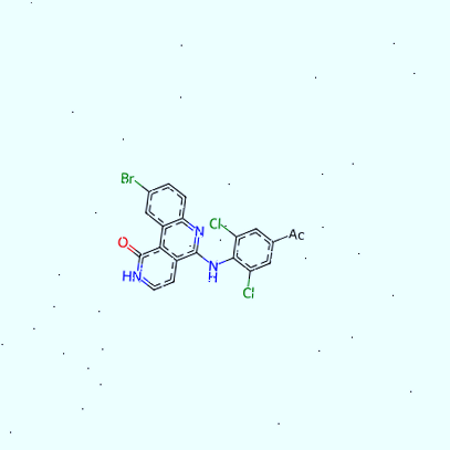 CC(=O)c1cc(Cl)c(Nc2nc3ccc(Br)cc3c3c(=O)[nH]ccc23)c(Cl)c1